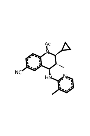 CC(=O)N1c2ccc(C#N)cc2[C@H](Nc2ncccc2C)[C@@H](C)[C@@H]1C1CC1